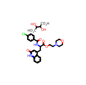 O=C(NC(Cc1cc(=O)[nH]c2ccccc12)C(=O)OCCN1CCOCC1)c1ccc(Cl)cc1.O=C(O)C(O)C(O)C(=O)O